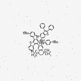 CC(C)(C)c1ccc(Nc2cc3c(cc2-c2c4c5c(c6cc(C(C)(C)C)ccc6n5-c5cc6c(-c7ccccc7)c(-c7ccccc7)sc6cc5B4)c4sc5ccccc5c24)C(C)(C)CCC3(C)C)cc1